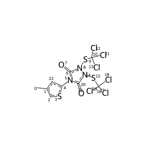 Cc1csc(-n2c(=O)n(SC(Cl)(Cl)Cl)n(SC(Cl)(Cl)Cl)c2=O)c1